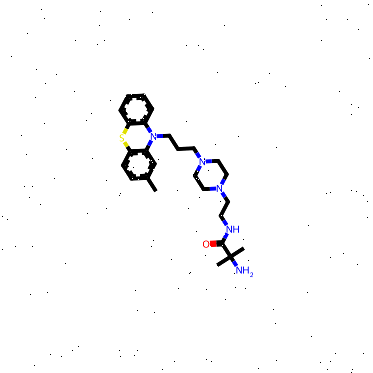 Cc1ccc2c(c1)N(CCCN1CCN(CCNC(=O)C(C)(C)N)CC1)c1ccccc1S2